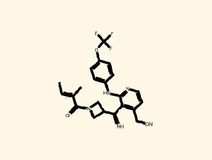 C/C=C(\C)C(=O)N1CC(C(=N)c2c(CO)ccnc2Nc2ccc(OC(F)(F)F)cc2)C1